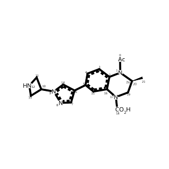 CC(=O)N1c2ccc(-c3cnn(C4CNC4)c3)cc2N(C(=O)O)C[C@@H]1C